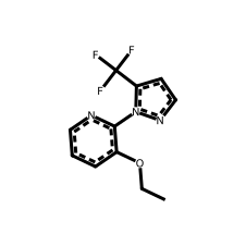 CCOc1cccnc1-n1nccc1C(F)(F)F